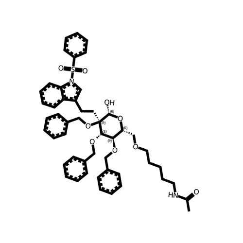 CC(=O)NCCCCCOC[C@H]1O[C@@H](O)[C@](CCc2cn(S(=O)(=O)c3ccccc3)c3ccccc23)(OCc2ccccc2)[C@@H](OCc2ccccc2)[C@@H]1OCc1ccccc1